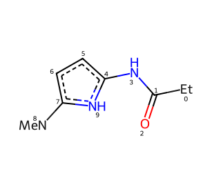 CCC(=O)Nc1ccc(NC)[nH]1